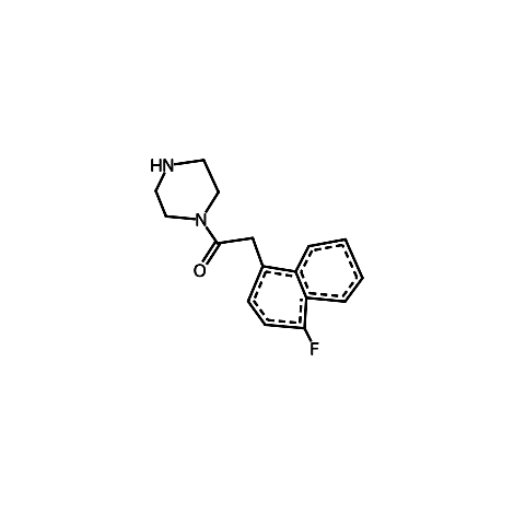 O=C(Cc1ccc(F)c2ccccc12)N1CCNCC1